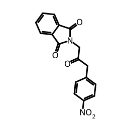 O=C(Cc1ccc([N+](=O)[O-])cc1)CN1C(=O)c2ccccc2C1=O